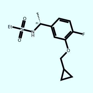 CCS(=O)(=O)N[C@H](C)c1ccc(F)c(OCC2CC2)c1